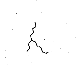 CCCCCC(CCC)CCCCO